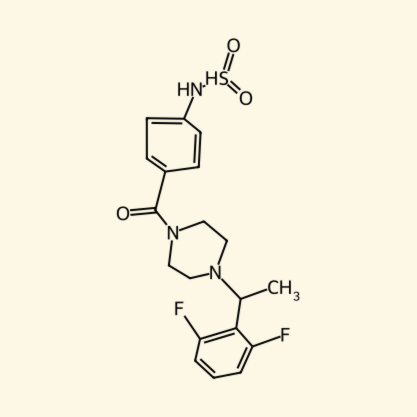 CC(c1c(F)cccc1F)N1CCN(C(=O)c2ccc(N[SH](=O)=O)cc2)CC1